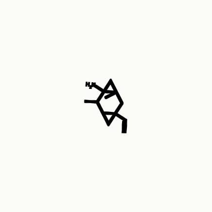 C=CC12CC1C(C)C1(N)CC1(C)C2